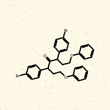 O=C(C(CCOc1ccccc1)c1ccc(Br)cc1)C(CCOc1ccccc1)c1ccc(Br)cc1